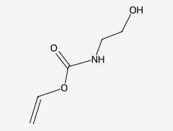 C=COC(=O)NCCO